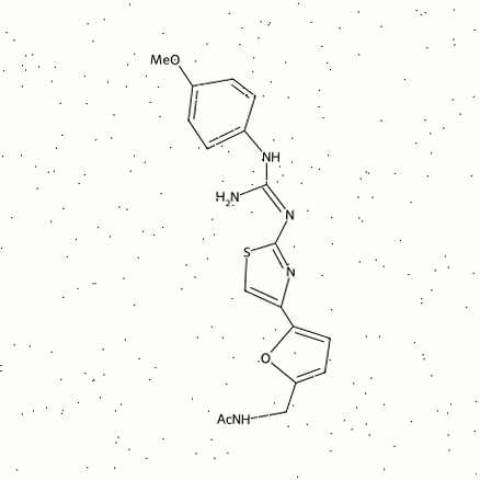 COc1ccc(N/C(N)=N/c2nc(-c3ccc(CNC(C)=O)o3)cs2)cc1